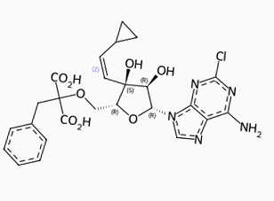 Nc1nc(Cl)nc2c1ncn2[C@@H]1O[C@H](COC(Cc2ccccc2)(C(=O)O)C(=O)O)[C@](O)(/C=C\C2CC2)[C@H]1O